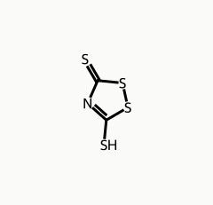 S=c1nc(S)ss1